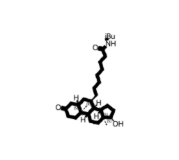 CCC(C)NC(=O)CCCCCCC[C@@H]1C[C@H]2CC(=O)CC[C@]2(C)[C@H]2CC[C@]3(C)[C@@H](O)CC[C@H]3[C@H]12